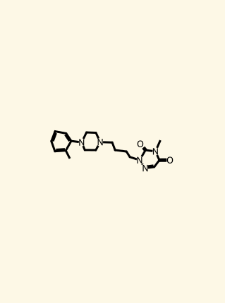 Cc1ccccc1N1CCN(CCCCn2ncc(=O)n(C)c2=O)CC1